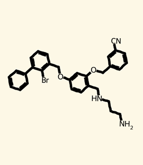 N#Cc1cccc(COc2cc(OCc3cccc(-c4ccccc4)c3Br)ccc2CNCCCN)c1